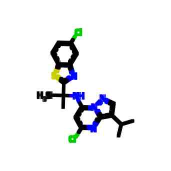 CC(C)c1cnn2c(NC(C)([SiH3])c3nc4cc(Cl)ccc4s3)cc(Cl)nc12